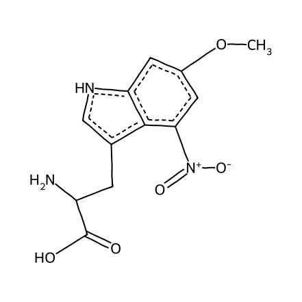 COc1cc([N+](=O)[O-])c2c(CC(N)C(=O)O)c[nH]c2c1